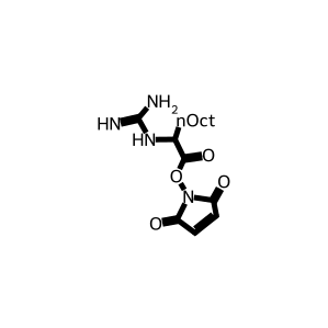 CCCCCCCCC(NC(=N)N)C(=O)ON1C(=O)C=CC1=O